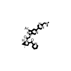 CC(=O)c1nn(CC(=O)N2C(C(=O)c3ccccn3)C[C@@]3(C)C[C@@H]23)c2cnc(-c3cnc(CN(C)C)nc3)cc12